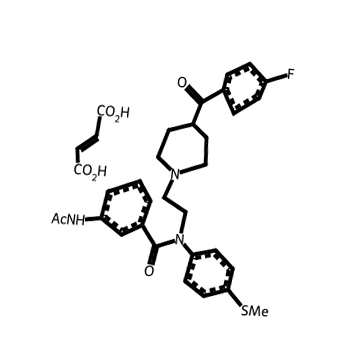 CSc1ccc(N(CCN2CCC(C(=O)c3ccc(F)cc3)CC2)C(=O)c2cccc(NC(C)=O)c2)cc1.O=C(O)/C=C/C(=O)O